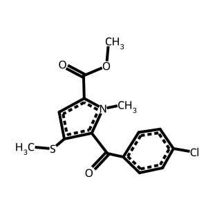 COC(=O)c1cc(SC)c(C(=O)c2ccc(Cl)cc2)n1C